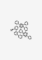 N#Cc1ccccc1-c1cccc(-c2cccc(-c3nc(-c4ccccc4)nc(-c4ccccc4)n3)c2)c1-c1cccc(-c2nc(-c3ccccc3)nc(-c3ccccc3)n2)c1